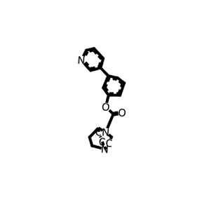 O=C(Oc1cccc(-c2cccnc2)c1)N1CCN2CCC1CC2